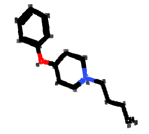 CCCCN1CCC(Oc2[c]cccc2)CC1